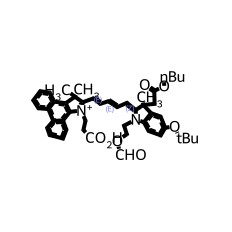 CCCCOC(=O)CC1(C)/C(=C/C=C/C=C/C2=[N+](CCC(=O)O)c3c(c4ccccc4c4ccccc34)C2(C)C)N(CCOC=O)c2ccc(OC(C)(C)C)cc21